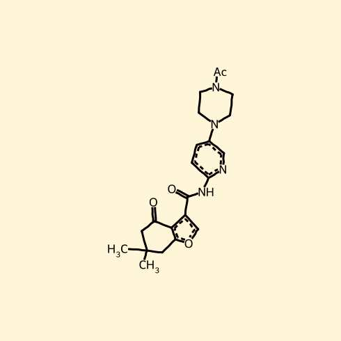 CC(=O)N1CCN(c2ccc(NC(=O)c3coc4c3C(=O)CC(C)(C)C4)nc2)CC1